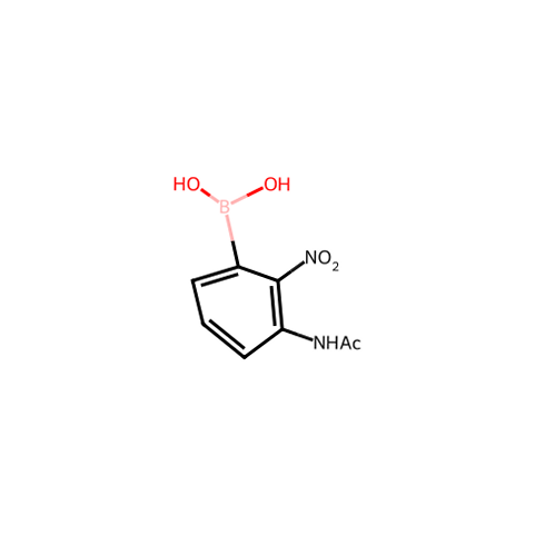 CC(=O)Nc1cccc(B(O)O)c1[N+](=O)[O-]